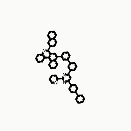 c1ccc(-c2ccc(-c3cc(-c4cccc(-c5cccc(-c6cc7c(-c8ccc9ccccc9c8)nc8ccccc8c7c7ccccc67)c5)c4)nc(-c4ccccn4)n3)cc2)cc1